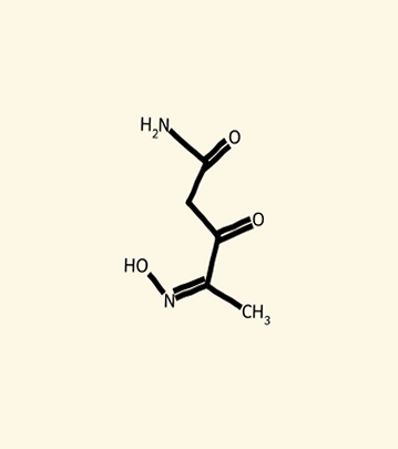 CC(=NO)C(=O)CC(N)=O